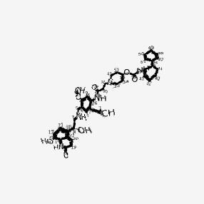 C#Cc1cc(CNC[C@H](O)c2ccc(O)c3[nH]c(=O)ccc23)c(OC)cc1NC(=O)CCN1CCC(OC(=O)Nc2ccccc2-c2ccccc2)CC1